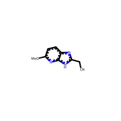 COc1ccc2nc(CC#N)[nH]c2n1